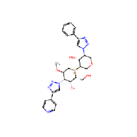 CO[C@H]1C[SH]([C@@H]2COC[C@H](n3cc(-c4ccccc4)nn3)[C@H]2O)[C@H](CO)[C@H](O)[C@@H]1n1cc(-c2ccncc2)nn1